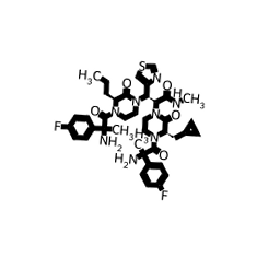 CCC[C@H]1C(=O)N([C@H](c2cscn2)C(C(=O)NC)N2CCN(C(=O)C(C)(N)c3ccc(F)cc3)[C@@H](CC3CC3)C2=O)CCN1C(=O)C(C)(N)c1ccc(F)cc1